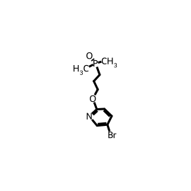 CP(C)(=O)CCCOc1ccc(Br)cn1